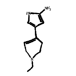 CCN1CC=C(c2c[nH]c(N)c2)CC1